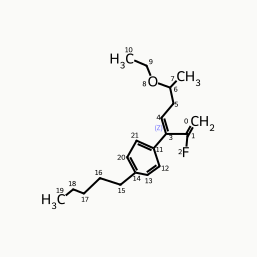 C=C(F)/C(=C\CC(C)OCC)c1ccc(CCCCC)cc1